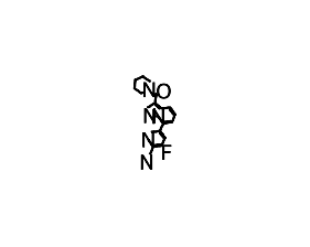 N#Cc1ncc(-c2cccc3c(C(=O)N4CCCCC4)cnn23)cc1F